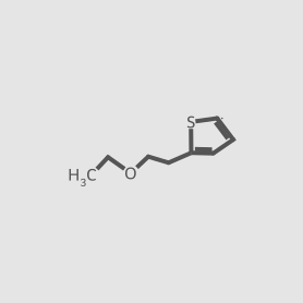 CCOCCc1cc[c]s1